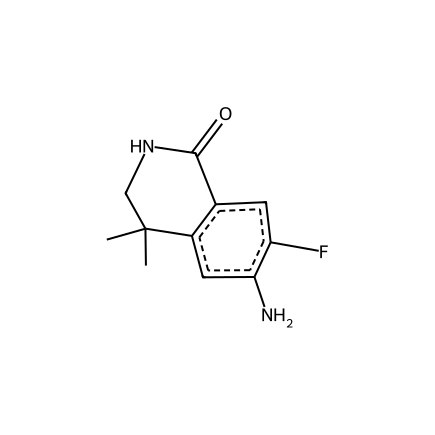 CC1(C)CNC(=O)c2cc(F)c(N)cc21